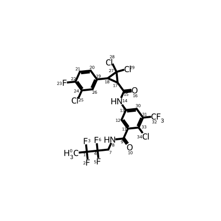 CC(F)(F)C(F)(F)CNC(=O)c1cc(NC(=O)C2C(c3ccc(F)c(Cl)c3)C2(Cl)Cl)cc(C(F)(F)F)c1Cl